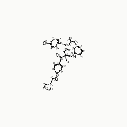 CCC(=O)N(c1ccc(Cl)cc1)[C@H]1C[C@@](C)(C(=O)c2ccc(OCCCC(=O)O)cc2)Nc2ccccc21